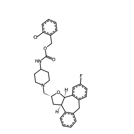 O=C(NC1CCN(C[C@H]2C[C@@H]3c4ccccc4Cc4ccc(F)cc4[C@@H]3O2)CC1)OCc1ccccc1Cl